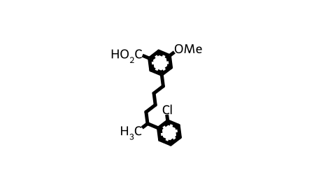 COc1cc(CCCCC(C)c2ccccc2Cl)cc(C(=O)O)c1